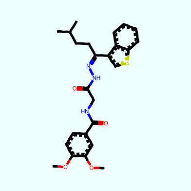 COc1ccc(C(=O)NCC(=O)N/N=C(/CCC(C)C)c2csc3ccccc23)cc1OC